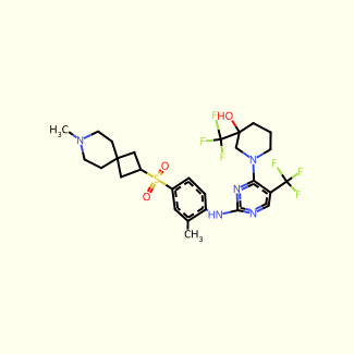 Cc1cc(S(=O)(=O)C2CC3(CCN(C)CC3)C2)ccc1Nc1ncc(C(F)(F)F)c(N2CCCC(O)(C(F)(F)F)C2)n1